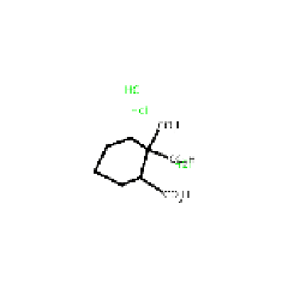 Cl.Cl.Cl.O=C(O)C1CCCCC1(C(=O)O)C(=O)O